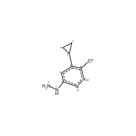 NNc1cc(C2CC2)c(Cl)nn1